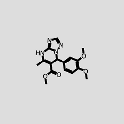 COC(=O)C1=C(C)Nc2ncnn2C1c1ccc(OC)c(OC)c1